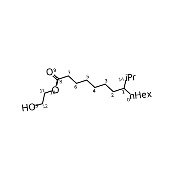 CCCCCCC(CCCCCCC(=O)OCCO)C(C)C